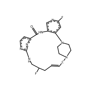 O=C1Nc2cnc(F)cc2N2CCN(C/C=C/CC(F)CNc3nccc1n3)CC2